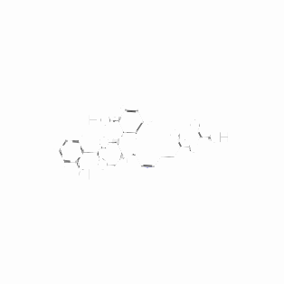 CC(=O)OC(=O)CC/C=C\C[C@H]1COC(c2ccccc2Cl)O[C@H]1C1C=CC=CC1O